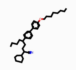 CCCCCCCCOc1ccc(-c2ccc(C(CCCC)CCC(C#N)C3CCCCC3)cc2)cc1